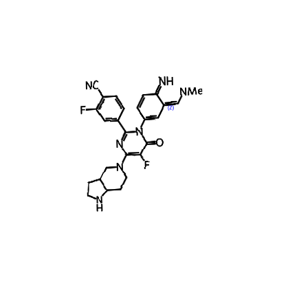 CN/C=C1/C=C(n2c(-c3ccc(C#N)c(F)c3)nc(N3CCC4NCCC4C3)c(F)c2=O)C=CC1=N